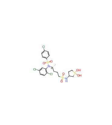 C[C@H](CCCS(=O)(=O)NC1CCS(O)(O)C1)N(c1cc(Cl)ccc1Cl)S(=O)(=O)c1ccc(Cl)cc1